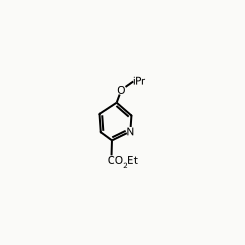 CCOC(=O)c1ccc(OC(C)C)cn1